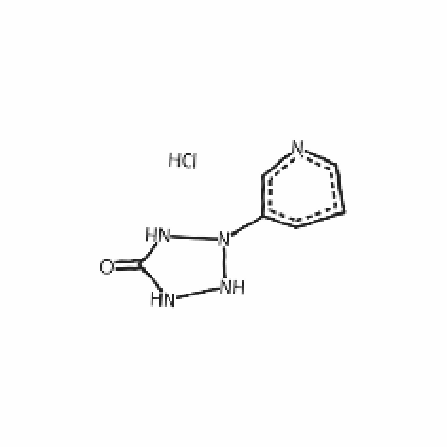 Cl.O=C1NNN(c2cccnc2)N1